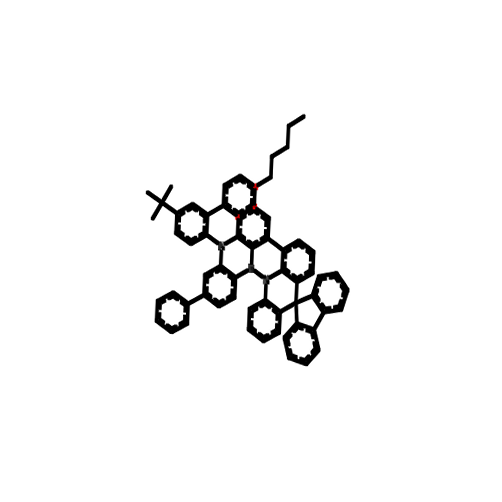 CCCCCCc1cc2c3c(c1)N(c1ccc(C(C)(C)C)cc1-c1ccccc1)c1cc(-c4ccccc4)ccc1B3N1c3ccccc3C3(c4ccccc4-c4ccccc43)c3cccc-2c31